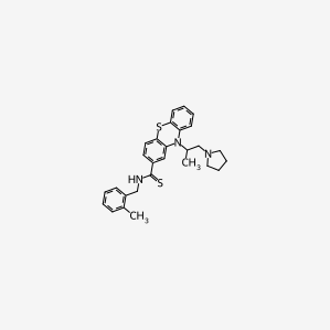 Cc1ccccc1CNC(=S)c1ccc2c(c1)N(C(C)CN1CCCC1)c1ccccc1S2